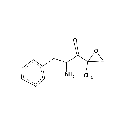 CC1(C(=O)C(N)Cc2ccccc2)CO1